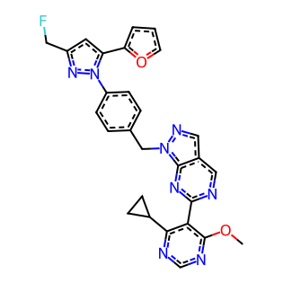 COc1ncnc(C2CC2)c1-c1ncc2cnn(Cc3ccc(-n4nc(CF)cc4-c4ccco4)cc3)c2n1